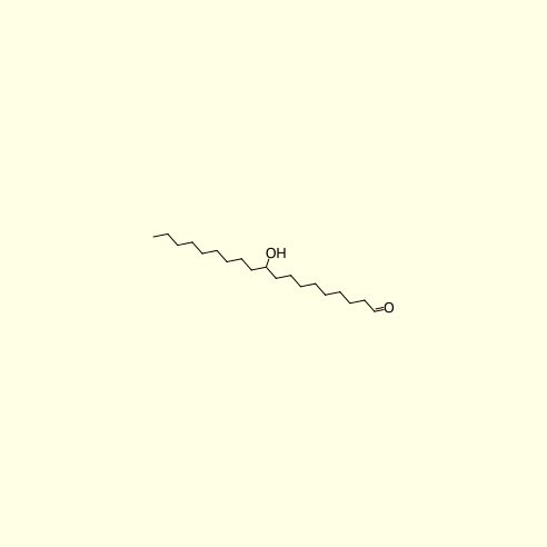 CCCCCCCCCC(O)CCCCCCCCC=O